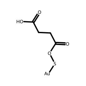 O=C(O)CCC(=O)O[S][Au]